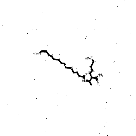 CCCCCCCC/C=C\CCCCCCCCCCCC(=O)NC(C)C(CCCCCCCCCCCCCC)C(N)=O